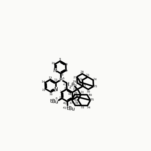 CC(C)(C)c1cc(CP(c2ccccn2)c2ccccn2)c(C(P)(C23CC4CC(CC(C4)C2)C3)C23CC4CC(CC(C4)C2)C3)cc1C(C)(C)C